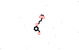 O=Cc1cccc(OCCCC2OCCO2)c1